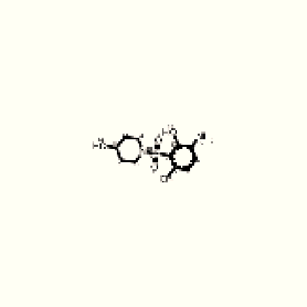 Nc1ccc(Cl)c(S(=O)(=O)N2CCC(O)CC2)c1O